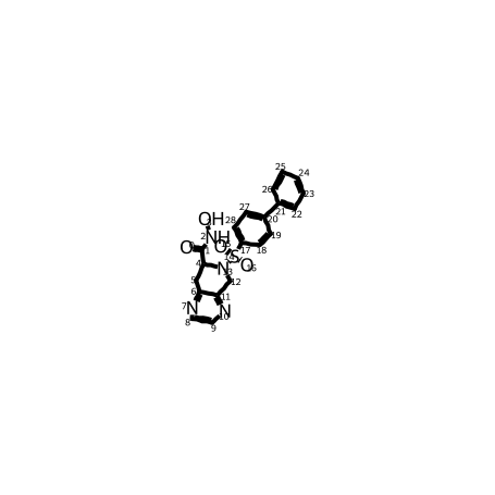 O=C(NO)C1Cc2nccnc2CN1S(=O)(=O)c1ccc(-c2ccccc2)cc1